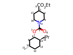 CCOC(=O)C1CCN(C(=O)O[C@H]2C[C@@H](C)CC[C@@H]2C(C)C)CC1